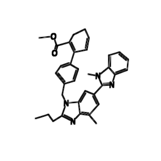 CCCc1nc2c(C)cc(-c3nc4ccccc4n3C)cc2n1Cc1ccc(C2=C(C(=O)OC)CCC=C2)cc1